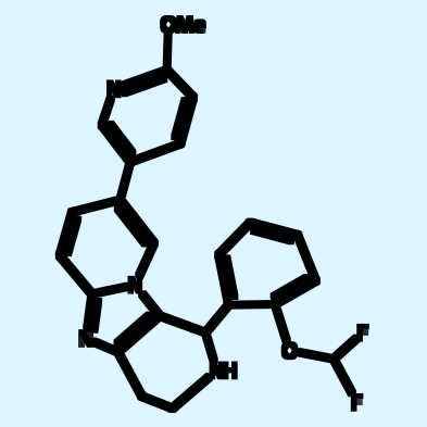 COc1ccc(-c2ccc3nc4c(n3c2)C(c2ccccc2OC(F)F)NCC4)cn1